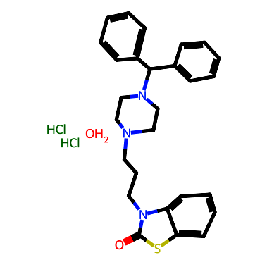 Cl.Cl.O.O=c1sc2ccccc2n1CCCN1CCN(C(c2ccccc2)c2ccccc2)CC1